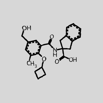 Cc1cc(CO)cc(C(=O)NC2(C(=O)O)Cc3ccccc3C2)c1OC1CCC1